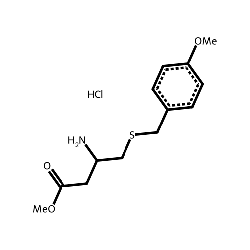 COC(=O)CC(N)CSCc1ccc(OC)cc1.Cl